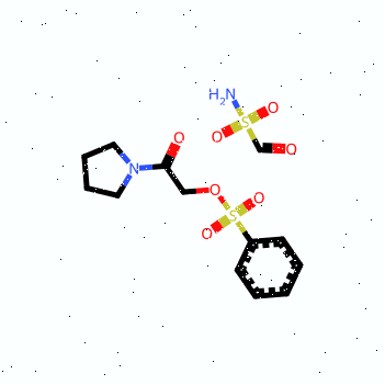 NS(=O)(=O)C=O.O=C(COS(=O)(=O)c1ccccc1)N1CCCC1